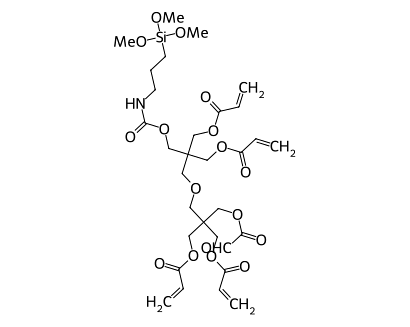 C=CC(=O)OCC(COCC(COC(=O)C=C)(COC(=O)C=C)COC(=O)NCCC[Si](OC)(OC)OC)(COC(=O)C=C)COC(=O)C=O